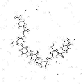 C=CC(=O)OC(COC(=O)c1ccc(C(C)=O)cc1)COc1cccc(Oc2c(F)c(F)c(Oc3cccc(OCC(COC(=O)c4ccc(C(C)=O)cc4)OC(=O)C=C)c3)c(F)c2F)c1